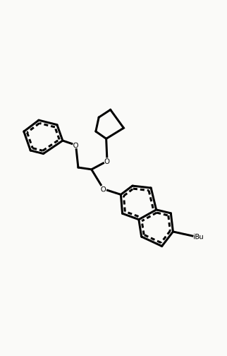 CCC(C)c1ccc2cc(OC(COc3ccccc3)OC3CCCC3)ccc2c1